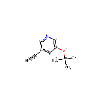 C#Cc1cncc(OC(C)(C)C)c1